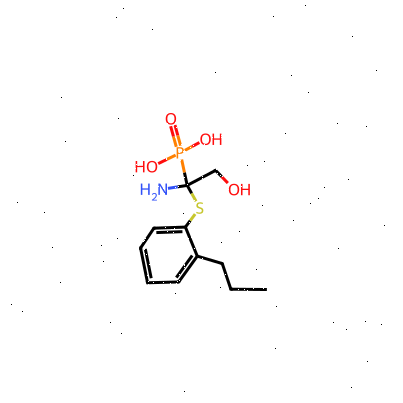 CCCc1ccccc1SC(N)(CO)P(=O)(O)O